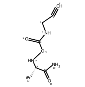 C#CCNC(=O)ON[C@H](C(N)=O)C(C)C